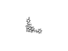 O=C(NCc1ccc(F)cc1)c1cn2c(c(O)c1=O)C(=O)N(CCOc1ccccc1)CC2